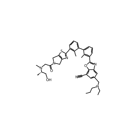 CCCN(CC)Cc1cc(C#N)c2oc(-c3cccc(-c4cccc(-c5nc6c(s5)CN(C(=O)CN(C)[C@H](C)CO)C6)c4C)c3C)nc2c1